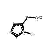 O=CNc1cncn1Cl